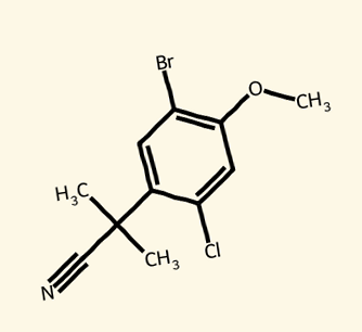 COc1cc(Cl)c(C(C)(C)C#N)cc1Br